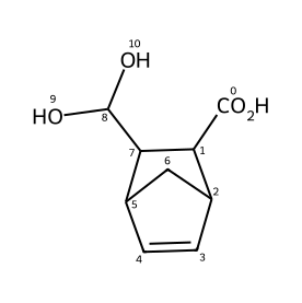 O=C(O)C1C2C=CC(C2)C1C(O)O